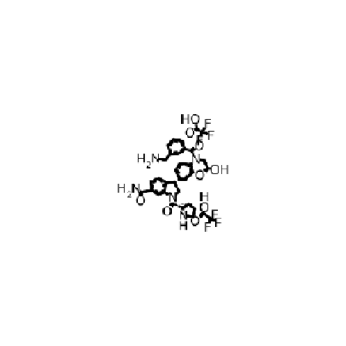 NC(=O)c1ccc2c(c1)N(C(=O)[C@H]1CCCN1)CC2.NCc1cccc(C(=O)N(CC(=O)O)c2ccccc2)c1.O=C(O)C(F)(F)F.O=C(O)C(F)(F)F